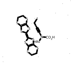 C1CSC2=C(S1)SC(=C1SC3=C(SCCS3)S1)S2.CCCCN(C#CCI)C(=O)O